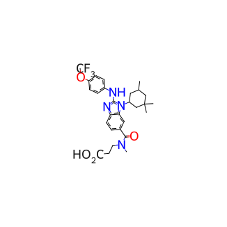 CC1CC(n2c(Nc3ccc(OC(F)(F)F)cc3)nc3ccc(C(=O)N(C)CCC(=O)O)cc32)CC(C)(C)C1